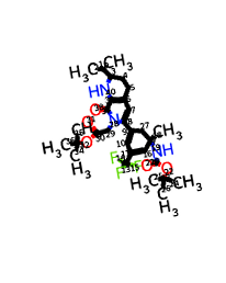 CC(C)C1CCc2cc(C3=CC(C(F)(F)F)=CC(C)(NC(=O)OC(C)(C)C)C3)n(CC(=O)OC(C)(C)C)c(=O)c2N1